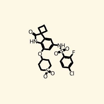 O=C1Nc2c(OC3CCS(=O)(=O)CC3)cc(NS(=O)(=O)c3ccc(Cl)cc3F)cc2C12CCC2